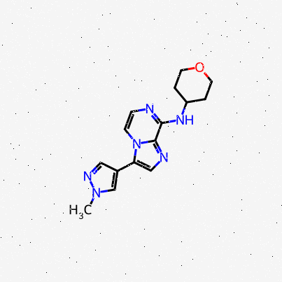 Cn1cc(-c2cnc3c(NC4CCOCC4)nccn23)cn1